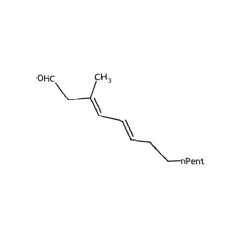 CCCCCCC/C=C/C=C(\C)C[C]=O